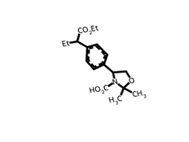 CCOC(=O)C(CC)c1ccc(C2COC(C)(C)N2C(=O)O)cc1